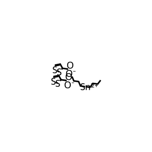 CCC[CH2][Sn+2][CH2]CCC.O=C([O-])C1C=CSS1.O=C([O-])C1C=CSS1